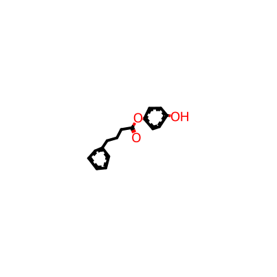 O=C(CCCc1ccccc1)Oc1ccc(O)cc1